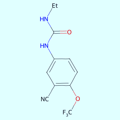 CCNC(=O)Nc1ccc(OC(F)(F)F)c(C#N)c1